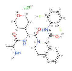 CNC(C)C(=O)NC(C(=O)N1CCc2ccccc2[C@H]1C(=O)Nc1c(F)cccc1F)C1CCOCC1.Cl